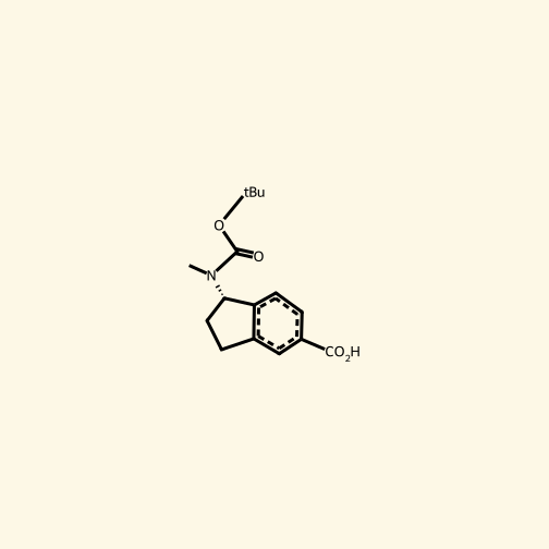 CN(C(=O)OC(C)(C)C)[C@H]1CCc2cc(C(=O)O)ccc21